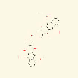 CC(=O)Oc1c2c(c(O)c3ccccc13)C(=O)C1=C(CC(C(=O)C3CC4C(=O)c5c(c(O)c6ccccc6c5OC(C)=O)C(=O)C4=CO3)OC1)C2=O